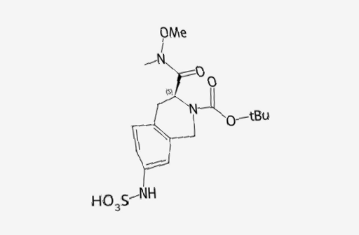 CON(C)C(=O)[C@@H]1Cc2ccc(NS(=O)(=O)O)cc2CN1C(=O)OC(C)(C)C